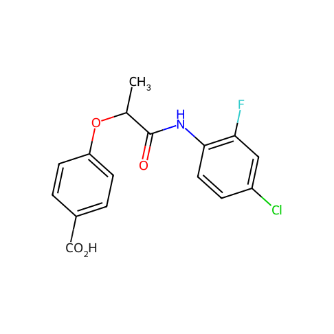 CC(Oc1ccc(C(=O)O)cc1)C(=O)Nc1ccc(Cl)cc1F